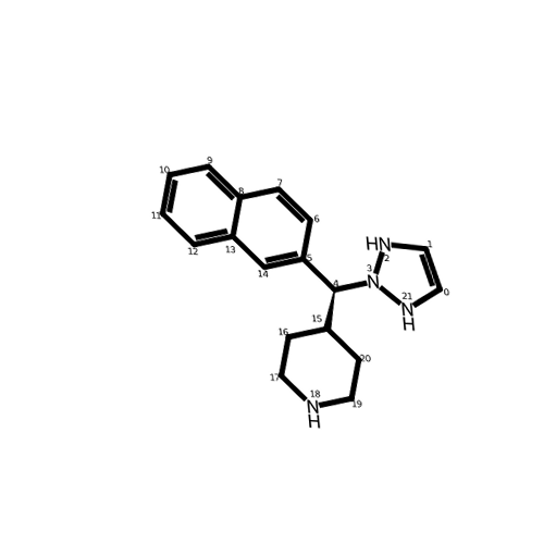 C1=CNN([C@H](c2ccc3ccccc3c2)C2CCNCC2)N1